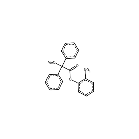 COC(C(=O)Oc1ccccc1[N+](=O)[O-])(c1ccccc1)c1ccccc1